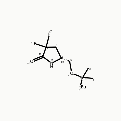 CC(C)(C)[Si](C)(C)OC[C@H]1CC(F)(F)C(=O)N1